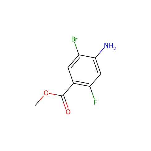 COC(=O)c1cc(Br)c(N)cc1F